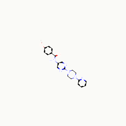 COc1ccc(C(=O)Nc2cnc(N3CCN(c4ccccn4)CC3)nc2)cc1